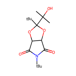 CC(C)(C)N1C(=O)C2OC(C(C)(C)C)(C(C)(C)O)OC2C1=O